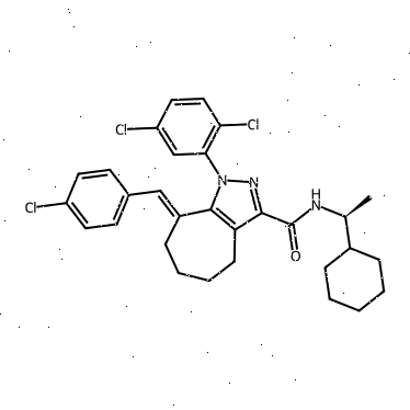 C[C@H](NC(=O)c1nn(-c2cc(Cl)ccc2Cl)c2c1CCCC/C2=C\c1ccc(Cl)cc1)C1CCCCC1